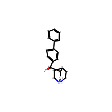 O=C(c1ccc(-c2ccccc2)cc1)C1CN2CCC1CC2